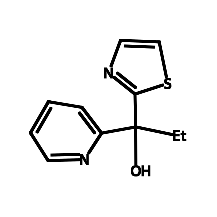 CCC(O)(c1ccccn1)c1nccs1